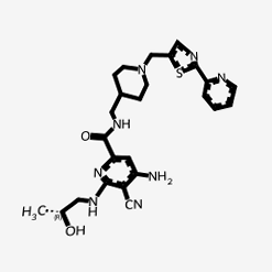 C[C@@H](O)CNc1nc(C(=O)NCC2CCN(Cc3cnc(-c4ccccn4)s3)CC2)cc(N)c1C#N